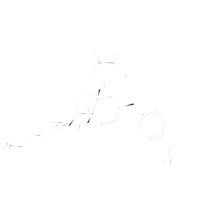 C[C@]12CC[C@H](Cc3ccc(CO)cc3)C[C@@]1(O)CC[C@@H]2/C=N/OCCN.O=C(O)C(=O)O